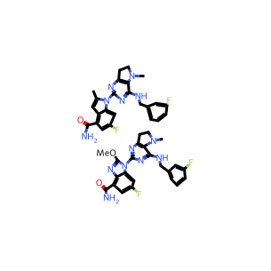 COc1nc2c(C(N)=O)cc(F)cc2n1-c1nc2c(c(NCc3cccc(F)c3)n1)N(C)CC2.Cc1cc2c(C(N)=O)cc(F)cc2n1-c1nc2c(c(NCc3cccc(F)c3)n1)N(C)CC2